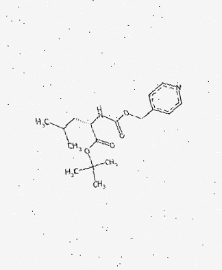 CC(C)C[C@H](NC(=O)OCc1ccncc1)C(=O)OC(C)(C)C